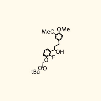 COc1ccc(CC[C@@H](O)c2cccc(OCC(=O)OC(C)(C)C)c2F)cc1OC